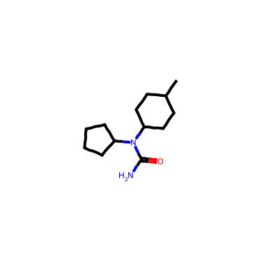 CC1CCC(N(C(N)=O)C2CCCC2)CC1